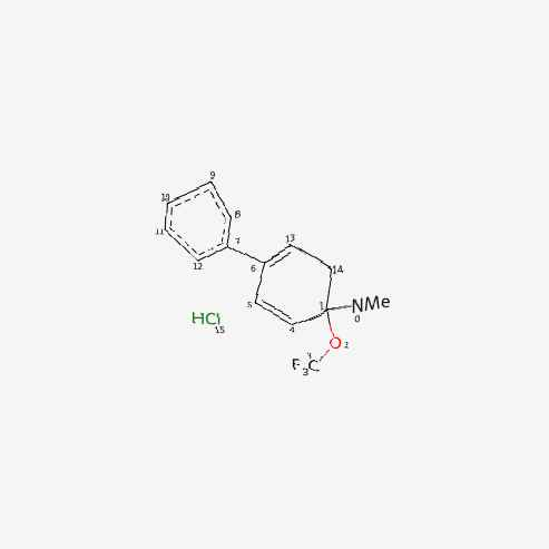 CNC1(OC(F)(F)F)C=CC(c2ccccc2)=CC1.Cl